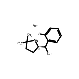 CC1(C)CC[C@H](C(O)c2ccccc2F)N1.Cl